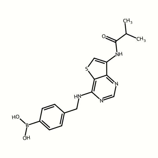 CC(C)C(=O)Nc1csc2c(NCc3ccc(B(O)O)cc3)ncnc12